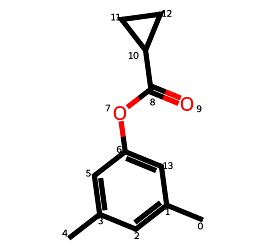 Cc1cc(C)cc(OC(=O)C2CC2)c1